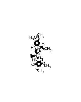 C=CC(=O)Nc1cc(CN(C)C)ccc1Nc1cc(N(C(=O)Nc2c(Cl)c(OC)cc(OC)c2Cl)C2CC2)ncn1